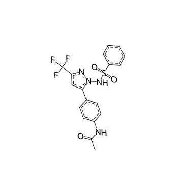 CC(=O)Nc1ccc(-c2cc(C(F)(F)F)nn2NS(=O)(=O)c2ccccc2)cc1